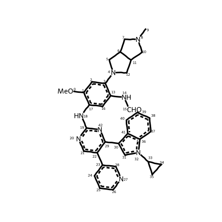 COc1cc(N2CC3CN(C)CC3C2)c(NC=O)cc1Nc1ncc(-c2cccnc2)c(-c2cn(C3CC3)c3ccccc23)n1